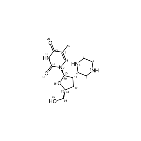 C1CNCCN1.Cc1cn([C@H]2CC[C@@H](CO)O2)c(=O)[nH]c1=O